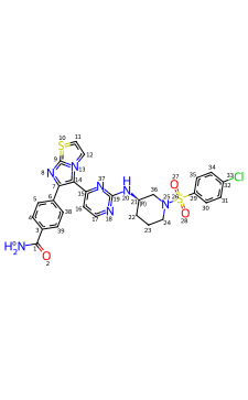 NC(=O)c1ccc(-c2nc3sccn3c2-c2ccnc(N[C@@H]3CCCN(S(=O)(=O)c4ccc(Cl)cc4)C3)n2)cc1